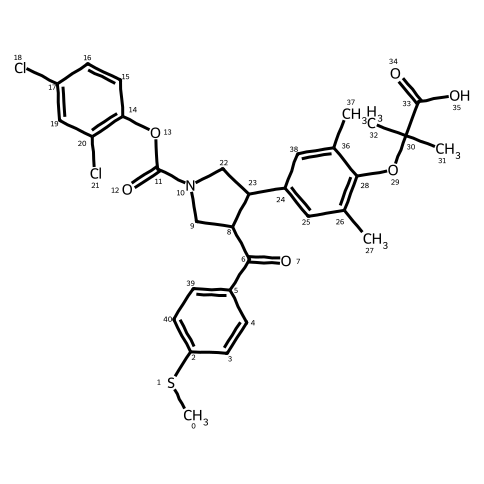 CSc1ccc(C(=O)C2CN(C(=O)Oc3ccc(Cl)cc3Cl)CC2c2cc(C)c(OC(C)(C)C(=O)O)c(C)c2)cc1